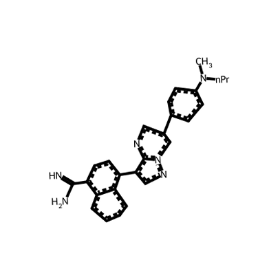 CCCN(C)c1ccc(-c2cnc3c(-c4ccc(C(=N)N)c5ccccc45)cnn3c2)cc1